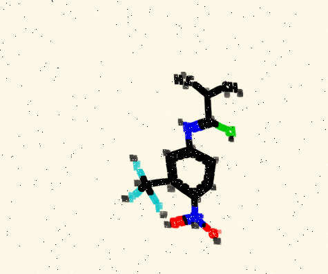 CC(C)C(Cl)=Nc1ccc([N+](=O)[O-])c(C(F)(F)F)c1